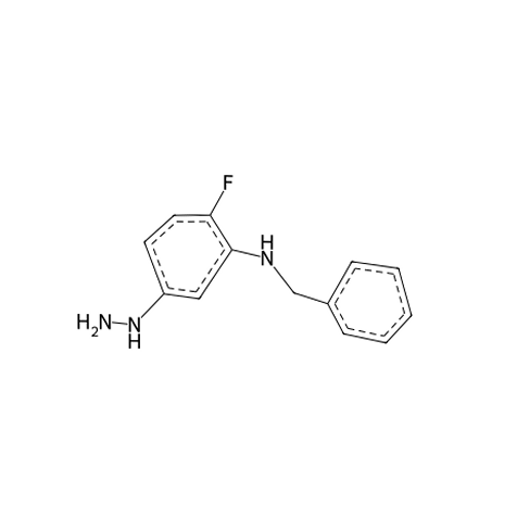 NNc1ccc(F)c(NCc2ccccc2)c1